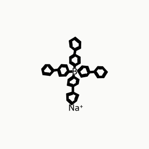 [Na+].c1ccc(-c2ccc([B-](c3ccc(-c4ccccc4)cc3)(c3ccc(-c4ccccc4)cc3)c3ccc(-c4ccccc4)cc3)cc2)cc1